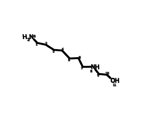 NCCCCCCCNCCO